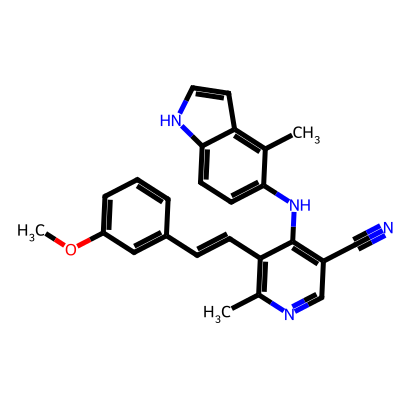 COc1cccc(C=Cc2c(C)ncc(C#N)c2Nc2ccc3[nH]ccc3c2C)c1